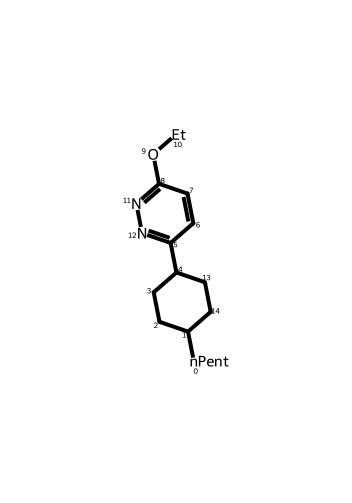 CCCCCC1CCC(c2ccc(OCC)nn2)CC1